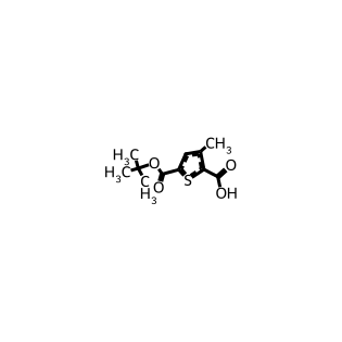 Cc1cc(C(=O)OC(C)(C)C)sc1C(=O)O